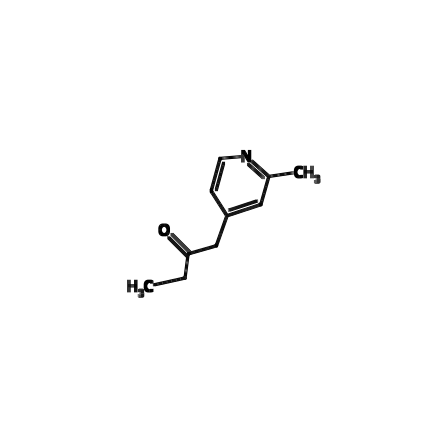 CCC(=O)Cc1ccnc(C)c1